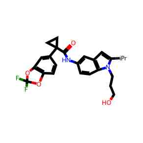 CC(C)c1cc2cc(NC(=O)C3(c4ccc5c(c4)OC(F)(F)O5)CC3)ccc2n1CCCO